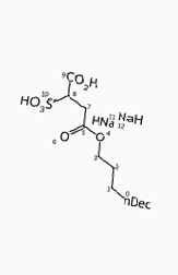 CCCCCCCCCCCCCOC(=O)CC(C(=O)O)S(=O)(=O)O.[NaH].[NaH]